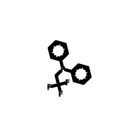 FC(F)(F)CP(c1ccccc1)c1ccccc1